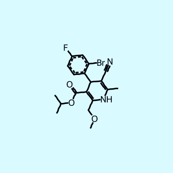 COCC1=C(C(=O)OC(C)C)C(c2ccc(F)cc2Br)C(C#N)=C(C)N1